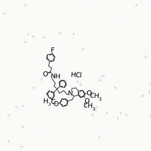 COc1ccc(CC2c3cc(OC)c(OC)cc3CCN2CCCC(CCCNC(=O)CCc2ccc(F)cc2)(c2ccccc2)c2ccccc2)cc1.Cl